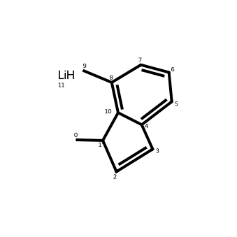 C[C]1C=Cc2cccc(C)c21.[LiH]